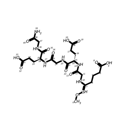 CO[SH]=C(CCCC(=O)O)NCC(=O)N[C@@H](CCC(=O)O)C(=O)NCC(=O)N[C@@H](CCC(=O)O)C(=O)NCC(N)=O